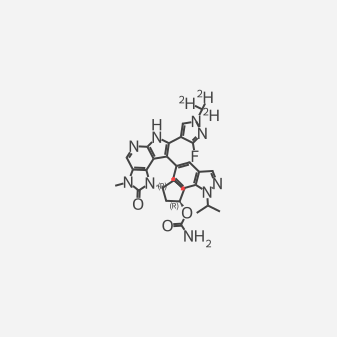 [2H]C([2H])([2H])n1cc(-c2[nH]c3ncc4c(c3c2-c2ccc3c(cnn3C(C)C)c2)n([C@@H]2CC[C@@H](OC(N)=O)C2)c(=O)n4C)c(F)n1